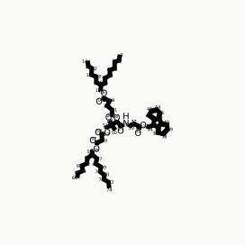 CCCCCCCCC(CCCCCC)COC(=O)CCCC(=O)OC(C(=O)NCCC(=O)OCC1c2ccccc2-c2ccccc21)C(C)(C)COC(=O)CC(=O)OCC(CCCCCC)CCCCCCCC